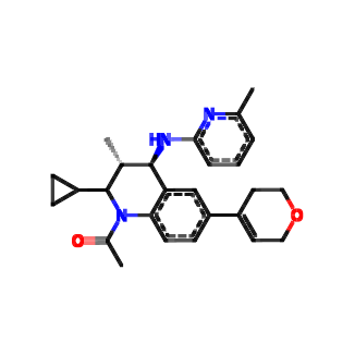 CC(=O)N1c2ccc(C3=CCOCC3)cc2[C@H](Nc2cccc(C)n2)[C@@H](C)C1C1CC1